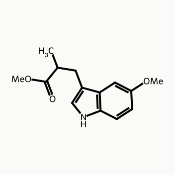 COC(=O)C(C)Cc1c[nH]c2ccc(OC)cc12